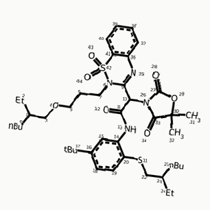 CCCCC(CC)COCCCN1C(C(C(=O)Nc2cc(C(C)(C)C)ccc2SCC(CC)CCCC)N2C(=O)OC(C)(C)C2=O)=Nc2ccccc2S1(=O)=O